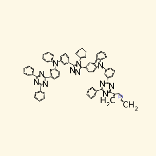 C=C/C=C\C(=C)c1nc(-c2ccccc2)nc(-c2cccc(-n3c4ccccc4c4cc(-c5nnc(-c6cccc(N(c7ccccc7)c7cccc(-c8nc(-c9ccccc9)nc(-c9ccccc9)n8)c7)c6)n5C5=CCCC=C5)ccc43)c2)n1